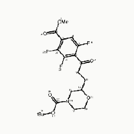 COC(=O)c1cc(F)c(C(=O)CCC2CN(C(=O)OC(C)(C)C)CCO2)c(F)c1F